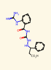 N=C(N)Nc1ccccc1C(=O)NC(=O)NNC(CC(=O)O)c1ccccc1